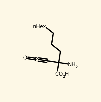 CCCCCCCCCC(N)(C#P=O)C(=O)O